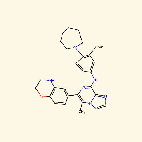 COc1cc(Nc2nc(-c3ccc4c(c3)NCCO4)c(C)n3ccnc23)ccc1N1CCCCCC1